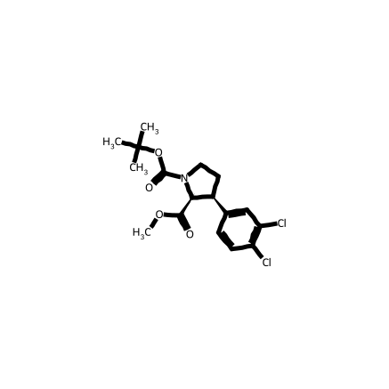 COC(=O)[C@@H]1[C@H](c2ccc(Cl)c(Cl)c2)CCN1C(=O)OC(C)(C)C